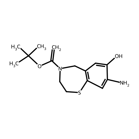 C=C(OC(C)(C)C)N1CCSc2cc(N)c(O)cc2C1